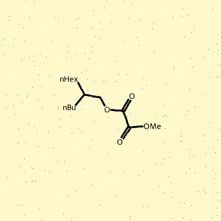 CCCCCCC(CCCC)COC(=O)C(=O)OC